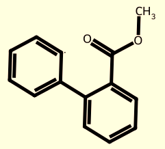 COC(=O)c1ccccc1-c1[c]cccc1